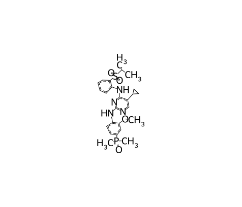 COc1cc(P(C)(C)=O)ccc1Nc1ncc(C2CC2)c(Nc2ccccc2S(=O)(=O)C(C)C)n1